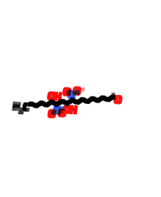 CCCCCC(O)C(CC(O)C(CCCCCCC[C]=O)[N+](=O)[O-])[N+](=O)[O-]